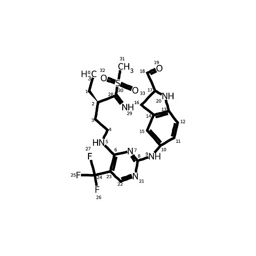 CC[C@H](CCNc1nc(Nc2ccc3c(c2)CC(C=O)N3)ncc1C(F)(F)F)C(=N)S(C)(=O)=O